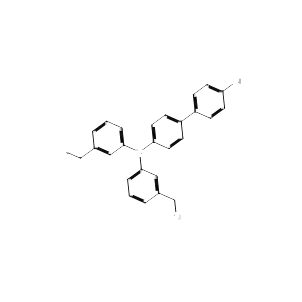 NCc1cccc(N(c2ccc(-c3ccc(N)cc3)cc2)c2cccc(CN)c2)c1